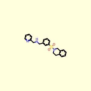 O=S(=O)(c1cccc(CNCc2ccccn2)c1)N1CCc2ccccc2C1